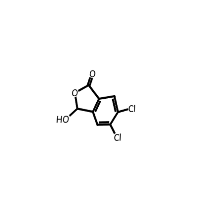 O=C1OC(O)c2cc(Cl)c(Cl)cc21